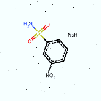 NS(=O)(=O)c1cccc([N+](=O)[O-])c1.[NaH]